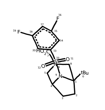 CC(C)(C)C12CCC(CN(C(=O)O)C1)N2S(=O)(=O)c1cc(F)cc(F)c1